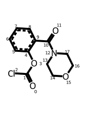 O=C(Cl)Oc1ccccc1C(=O)N1CCOCC1